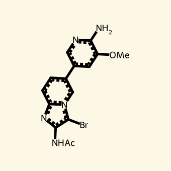 COc1cc(-c2ccc3nc(NC(C)=O)c(Br)n3c2)cnc1N